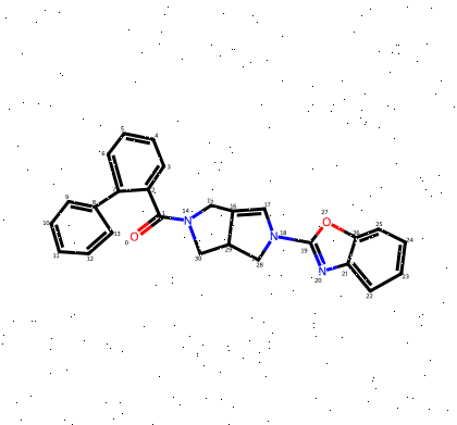 O=C(c1ccccc1-c1ccccc1)N1CC2=CN(c3nc4ccccc4o3)CC2C1